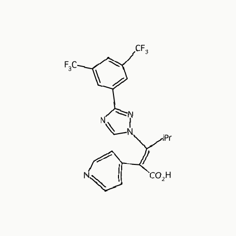 CC(C)/C(=C(\C(=O)O)c1ccncc1)n1cnc(-c2cc(C(F)(F)F)cc(C(F)(F)F)c2)n1